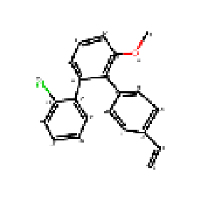 C=Cc1ccc(-c2c(OC)cccc2-c2ccccc2Cl)cc1